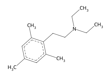 CCN(CC)CCc1c(C)cc(C)cc1C